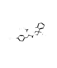 CCCCOC1(c2ccccc2F)CN(C(=O)[C@](Cc2ccc(OC)cc2)(OC(N)=O)C(C)(C)C)C1